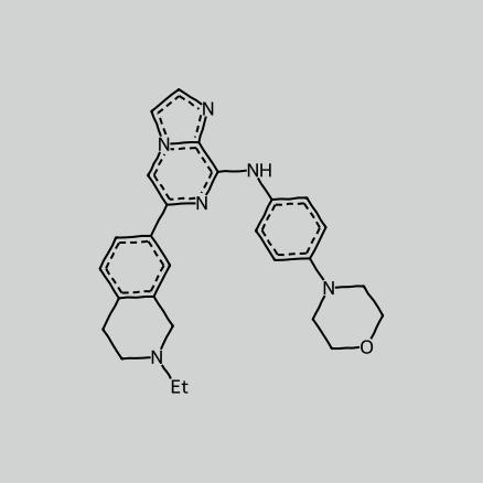 CCN1CCc2ccc(-c3cn4ccnc4c(Nc4ccc(N5CCOCC5)cc4)n3)cc2C1